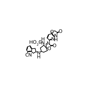 N#Cc1cccc2c1CC(NC1CCC3(CN(c4ccc5c(n4)NC(=O)CO5)C(=O)O3)C(NC(=O)O)C1)C2